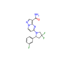 NC(=O)c1cnn2ccc(N3CC(F)(F)CC3c3cccc(F)c3)nc12